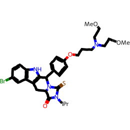 COCCN(CCCOc1ccc(C2c3[nH]c4ccc(Br)cc4c3CC3C(=O)N(C(C)C)C(=S)N32)cc1)CCOC